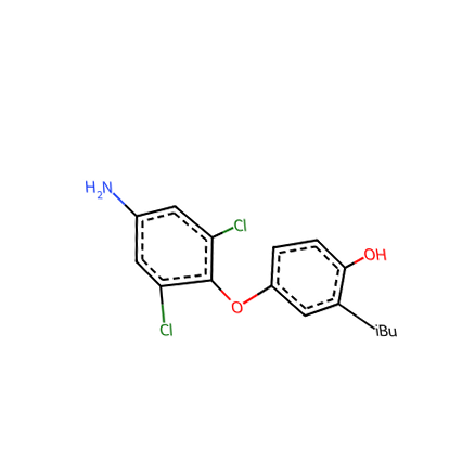 CCC(C)c1cc(Oc2c(Cl)cc(N)cc2Cl)ccc1O